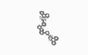 c1cc(-c2cnc3c4ccccc4c4ccccc4c3n2)cc(-c2cccc3c2sc2c(-c4cccc(-c5cnc6c7ccccc7c7ccccc7c6n5)c4)cccc23)c1